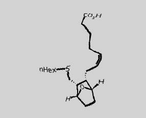 CCCCCCSC[C@@H]1[C@H](C/C=C\CCCC(=O)O)[C@@H]2CC[C@H]1O2